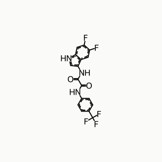 O=C(Nc1ccc(C(F)(F)F)cc1)C(=O)Nc1c[nH]c2cc(F)c(F)cc12